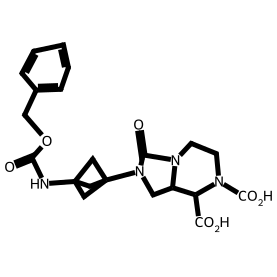 O=C(NC12CC(N3CC4C(C(=O)O)N(C(=O)O)CCN4C3=O)(C1)C2)OCc1ccccc1